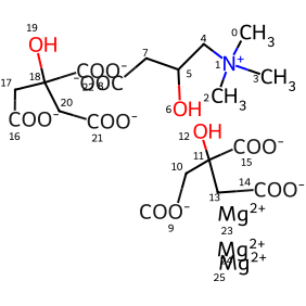 C[N+](C)(C)CC(O)CC(=O)[O-].O=C([O-])CC(O)(CC(=O)[O-])C(=O)[O-].O=C([O-])CC(O)(CC(=O)[O-])C(=O)[O-].[Mg+2].[Mg+2].[Mg+2]